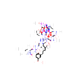 CC[C@H](NC(=O)C(C[C@H](C)CCCc1cccc(C(=O)O)c1)N(C)C(=O)[C@H](C(C)C)N(C)C(=O)N(C)C(=O)[C@H](CC(C)C)N(C)C=O)C(=O)N(C)[C@H](CSCCCCO)C(=O)N(C)[C@@H](CC(C)C)C(=O)N[C@H](C(=O)N(C)[C@@H](CC(C)C)C(=O)N[C@H](C)C(=O)NC)C(C)C